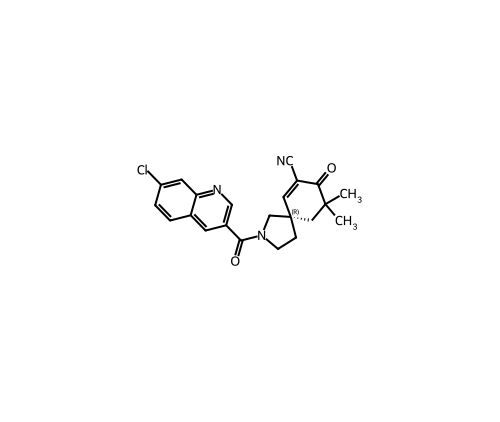 CC1(C)C[C@]2(C=C(C#N)C1=O)CCN(C(=O)c1cnc3cc(Cl)ccc3c1)C2